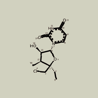 CC[C@@]1(CCl)O[C@@H](n2ccc(=O)[nH]c2=O)[C@H](O)[C@@H]1C